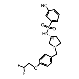 N#Cc1cccc(S(=O)(=O)N[C@@H]2CCN(Cc3ccc(OCC(F)F)cc3)C2)c1